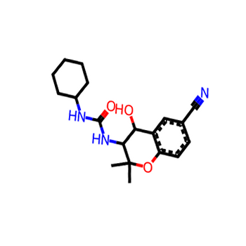 CC1(C)Oc2ccc(C#N)cc2C(O)C1NC(=O)NC1CCCCC1